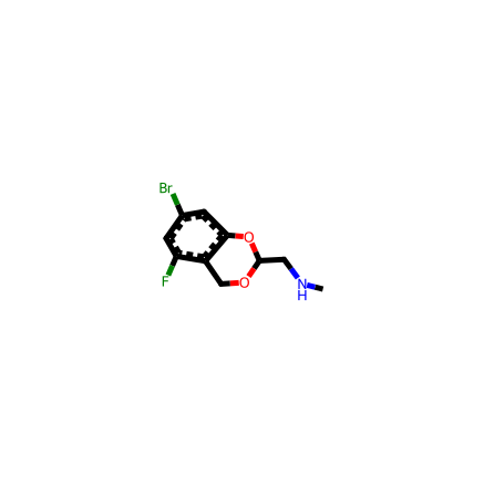 CNCC1OCc2c(F)cc(Br)cc2O1